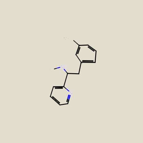 COc1cccc(CC(NC=O)c2ccccn2)c1